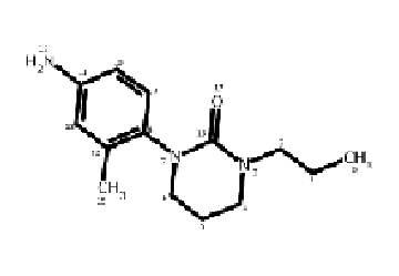 CCCN1CCCN(c2ccc(N)cc2C)C1=O